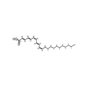 CCCCCCCCCCC\C=C/C=C/C=C\C=C\C=C\C(=O)O